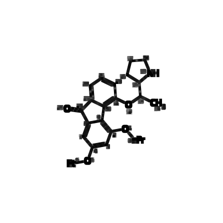 CCCOc1cc(OCC)cc2c1-c1c(OC(C)C3CCCN3)cccc1C2=O